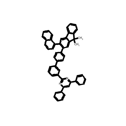 CC1(C)c2ccccc2-c2cc(-c3cccc4ccccc34)c(-c3ccc(-c4cccc(-c5nc(-c6ccccc6)cc(-c6ccccc6)n5)c4)cc3)cc21